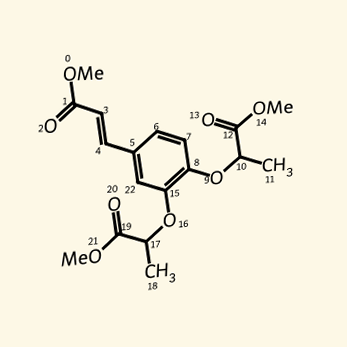 COC(=O)/C=C/c1ccc(OC(C)C(=O)OC)c(OC(C)C(=O)OC)c1